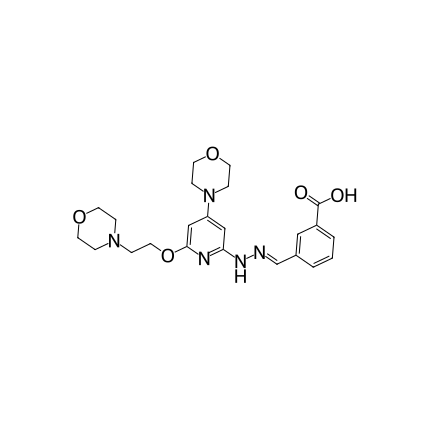 O=C(O)c1cccc(C=NNc2cc(N3CCOCC3)cc(OCCN3CCOCC3)n2)c1